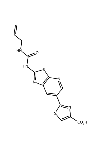 C=CCNC(=O)Nc1nc2cc(-c3nc(C(=O)O)cs3)cnc2s1